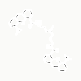 CN(CCCNC(=O)c1cccc2cc3cccc(N(C)C)c3nc12)CCCNC(=O)c1cccc2cc3cccc(N(C)C)c3nc12